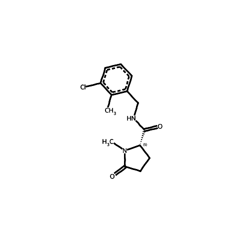 Cc1c(Cl)cccc1CNC(=O)[C@@H]1CCC(=O)N1C